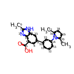 Cc1nc2c(C(=O)O)cc(-c3cccc(-n4c(C)ccc4C)c3)cc2[nH]1